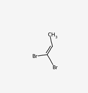 CC=C(Br)Br